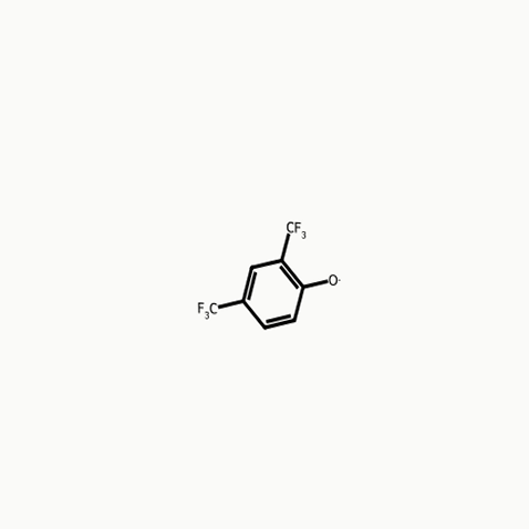 [O]c1ccc(C(F)(F)F)cc1C(F)(F)F